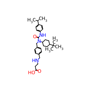 CC(C)c1ccc(NC(=O)N(Cc2ccc(CNCCC(=O)O)cc2)C2CCC(C(C)(C)C)CC2)cc1